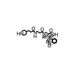 O=C(CCC1CCNCC1)NCCC(=O)NC[C@H](NS(=O)(=O)c1ccccc1[N+](=O)[O-])C(=O)O